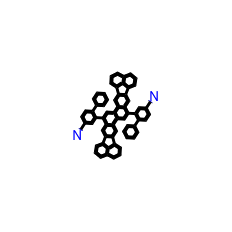 N#Cc1ccc(-c2ccccc2)c(-c2cc3c4cc5c(cc4c(-c4cc(C#N)ccc4-c4ccccc4)cc3c3cc4c(cc23)-c2cccc3cccc-4c23)-c2cccc3cccc-5c23)c1